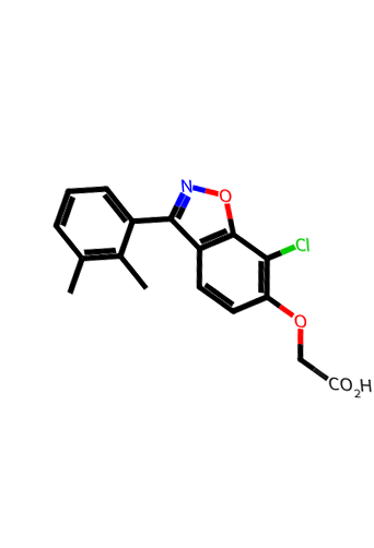 Cc1cccc(-c2noc3c(Cl)c(OCC(=O)O)ccc23)c1C